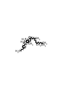 C=CCCc1ccc(C(=O)Oc2c(C)c(C)c3c(c2C)CC[C@@](C)(CCC[C@H](C)CCC[C@H](C)CCCC(C)C)O3)nc1